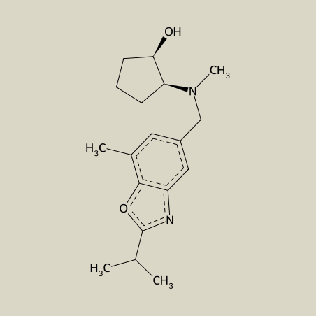 Cc1cc(CN(C)[C@H]2CCC[C@H]2O)cc2nc(C(C)C)oc12